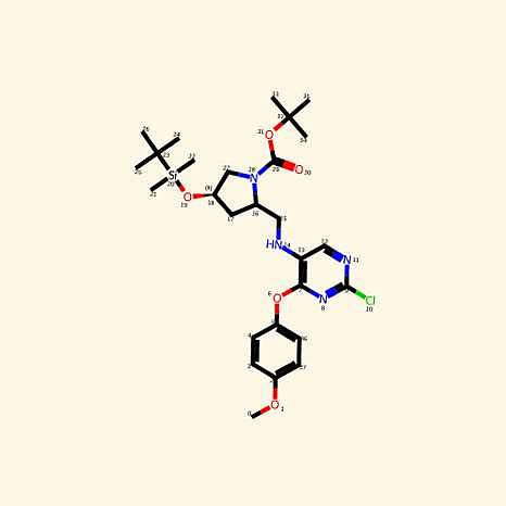 COc1ccc(Oc2nc(Cl)ncc2NCC2C[C@@H](O[Si](C)(C)C(C)(C)C)CN2C(=O)OC(C)(C)C)cc1